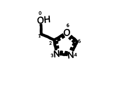 OCc1nn[c]o1